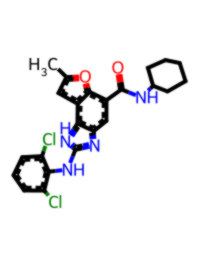 Cc1cc2c(o1)c(C(=O)NC1CCCCC1)cc1nc(Nc3c(Cl)cccc3Cl)[nH]c12